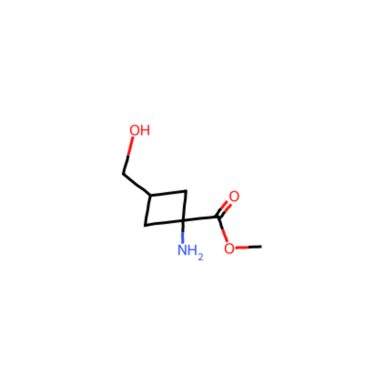 COC(=O)C1(N)CC(CO)C1